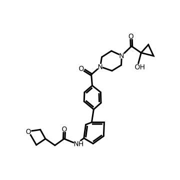 O=C(CC1COC1)Nc1cccc(-c2ccc(C(=O)N3CCN(C(=O)C4(O)CC4)CC3)cc2)c1